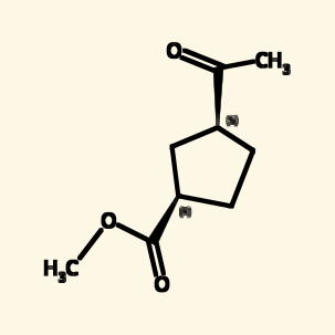 COC(=O)[C@@H]1CC[C@H](C(C)=O)C1